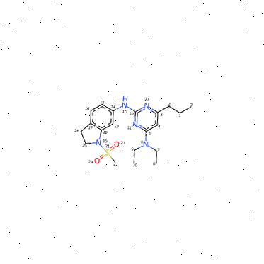 CCCc1cc(N(CC)CC)nc(Nc2ccc3c(c2)N(S(C)(=O)=O)CC3)n1